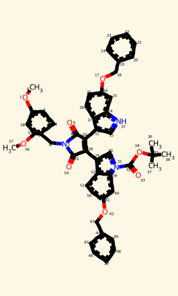 COc1ccc(CN2C(=O)C(c3c[nH]c4cc(OCc5ccccc5)ccc34)=C(c3cn(C(=O)OC(C)(C)C)c4cc(OCc5ccccc5)ccc34)C2=O)c(OC)c1